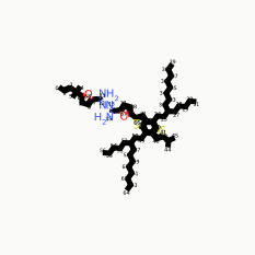 CC=CC(C)(C)C1CC=C(/C(N)=N/N=C(\N)c2ccc(-c3cc4c(CCC(CCCCC)CCCCCCCC)c5sc(C(C)C)cc5c(CCC(CCCCC)CCCCCCCC)c4s3)o2)O1